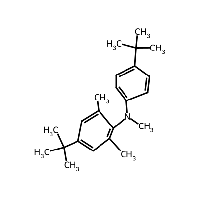 Cc1cc(C(C)(C)C)cc(C)c1N(C)c1ccc(C(C)(C)C)cc1